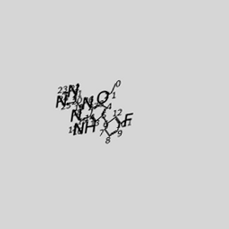 CCOc1cc(-c2cccc(F)c2)cc2c(NC)nc(-c3cncnc3)nc12